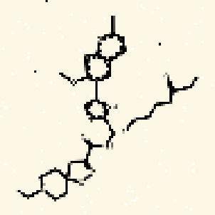 CCC(=O)CCCCC[C@H](NC(=O)C1=NOC2(CCN(CC)CC2)C1)c1ncc(-c2cc3ccc(C)nc3cc2OC)[nH]1